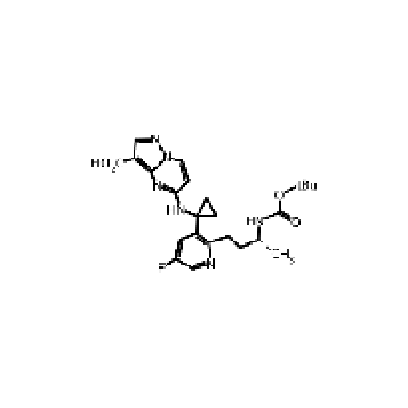 C[C@H](CCc1ncc(F)cc1C1(Nc2ccn3ncc(C(=O)O)c3n2)CC1)NC(=O)OC(C)(C)C